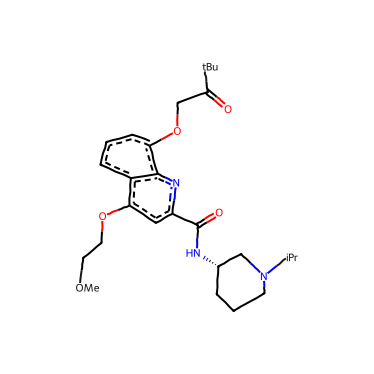 COCCOc1cc(C(=O)N[C@H]2CCCN(C(C)C)C2)nc2c(OCC(=O)C(C)(C)C)cccc12